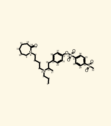 CCCN(CCCCN1CCCCCC1=O)C(C)Cc1ccc(OS(=O)(=O)c2ccc(S(C)(=O)=O)cc2)cc1